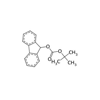 CC(C)(C)OC(=O)OC1c2ccccc2-c2ccccc21